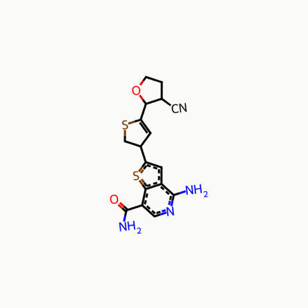 N#CC1CCOC1C1=CC(c2cc3c(N)ncc(C(N)=O)c3s2)CS1